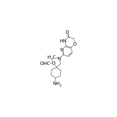 CN(CC1(OC=O)CCC(N)CC1)c1ccc2c(n1)NC(=O)CO2